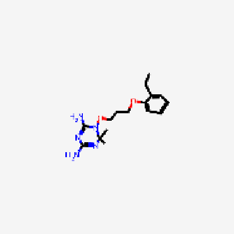 CCc1ccccc1OCCCON1C(N)=NC(N)=NC1(C)C